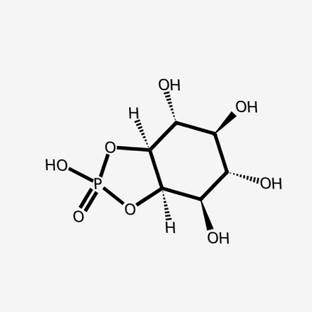 O=P1(O)O[C@@H]2[C@H](O)[C@@H](O)[C@H](O)[C@@H](O)[C@@H]2O1